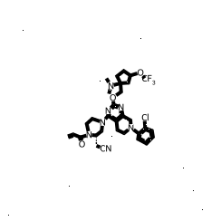 C=CC(=O)N1CCN(c2nc(OCC3(N(C)C)CCC(OC(F)(F)F)C3)nc3c2CCN(c2ccccc2Cl)C3)C[C@@H]1CC#N